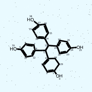 OC1=CC=C(C(c2ccc(O)cc2)C(c2ccc(O)cc2)c2ccc(O)cc2)CC1